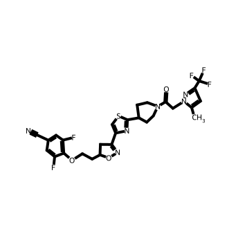 Cc1cc(C(F)(F)F)nn1CC(=O)N1CCC(c2nc(C3=NOC(CCOc4c(F)cc(C#N)cc4F)C3)cs2)CC1